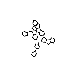 CC1(C)c2ccccc2-c2ccc(N(c3ccc(-c4ccccc4)cc3)c3ccc4c(c3)C3(c5ccccc5-c5ccccc53)c3c(-c5ccccc5)oc(-c5ccccc5)c3-4)cc21